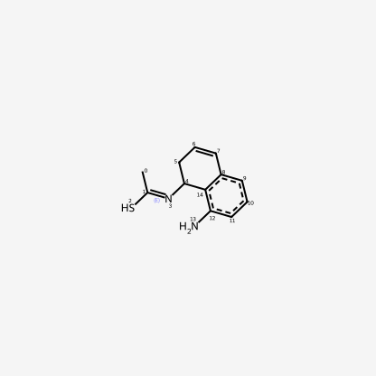 C/C(S)=N\C1CC=Cc2cccc(N)c21